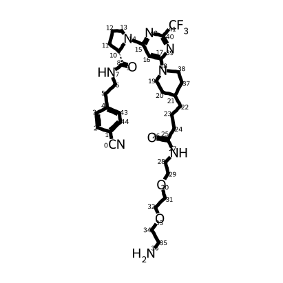 N#Cc1ccc(CCNC(=O)[C@@H]2CCCN2c2cc(N3CCC(CCCC(=O)NCCOCCOCCN)CC3)nc(C(F)(F)F)n2)cc1